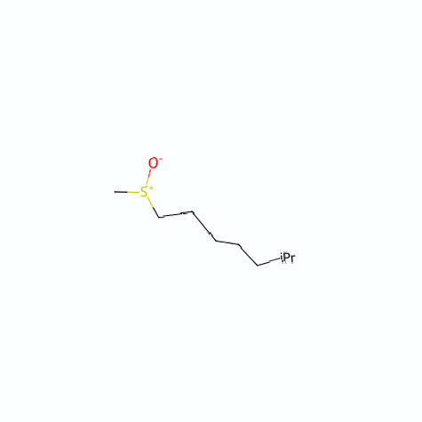 CC(C)CCCCC[S+](C)[O-]